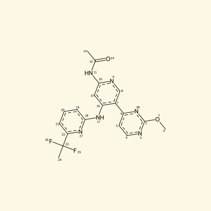 COc1nccc(-c2cnc(NC(C)=O)cc2Nc2cccc(C(C)(F)F)n2)n1